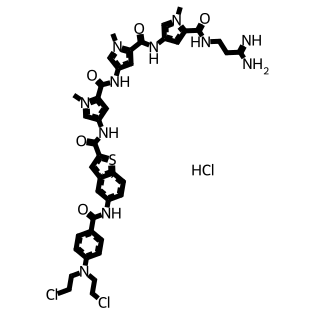 Cl.Cn1cc(NC(=O)c2cc(NC(=O)c3cc(NC(=O)c4cc5cc(NC(=O)c6ccc(N(CCCl)CCCl)cc6)ccc5s4)cn3C)cn2C)cc1C(=O)NCCC(=N)N